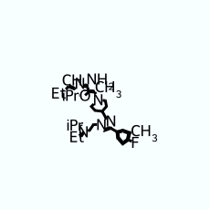 CC/C(C)=C/N=C(N)\C(OC(C)C)=C(/C)N1CCC(c2nc(-c3ccc(F)c(C)c3)cn2CCN(CC)C(C)C)CC1